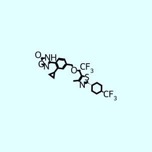 Cc1nc([C@H]2CC[C@H](C(F)(F)F)CC2)sc1C(OCc1ccc(-c2noc(=O)[nH]2)c(C2CC2)c1)C(F)(F)F